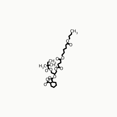 CCCCOC(=O)CCCCCOC(=O)CCC(=O)OCC(COC(=O)C(C)(C)CC)OC(=O)C1CCCCC1C(=O)O